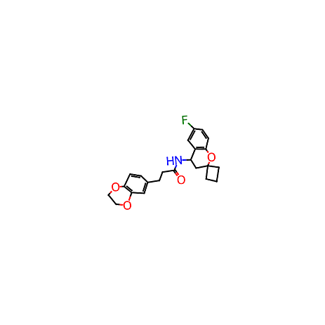 O=C(CCc1ccc2c(c1)OCCO2)NC1CC2(CCC2)Oc2ccc(F)cc21